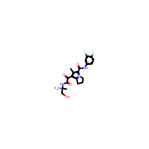 Cc1c(C(=O)C(=O)N[C@](C)(CO)C(F)(F)F)c2n(c1C(=O)Nc1ccc(F)c(F)c1)CCC2